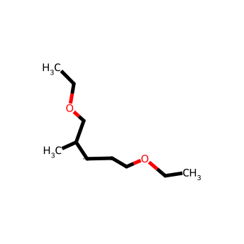 CCOCC[CH]C(C)COCC